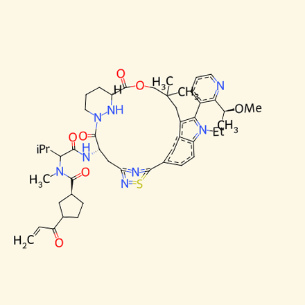 C=CC(=O)C1CC[C@H](C(=O)N(C)C(C(=O)N[C@H]2Cc3nsc(n3)-c3ccc4c(c3)c(c(-c3cccnc3[C@H](C)OC)n4CC)CC(C)(C)COC(=O)[C@@H]3CCCN(N3)C2=O)C(C)C)C1